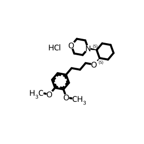 COc1ccc(CCCO[C@H]2CCCC[C@@H]2N2CCOCC2)cc1OC.Cl